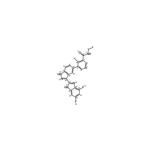 CCNC(=O)c1cncc(-c2ccc3[nH]nc(-c4nc5c(F)cc(F)cc5[nH]4)c3c2)c1C